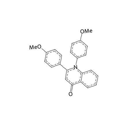 COc1ccc(-c2cc(=O)c3ccccc3n2-c2ccc(OC)cc2)cc1